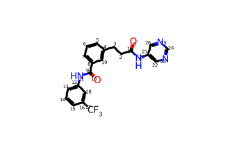 O=C(CCc1cccc(C(=O)Nc2cccc(C(F)(F)F)c2)c1)Nc1cncnc1